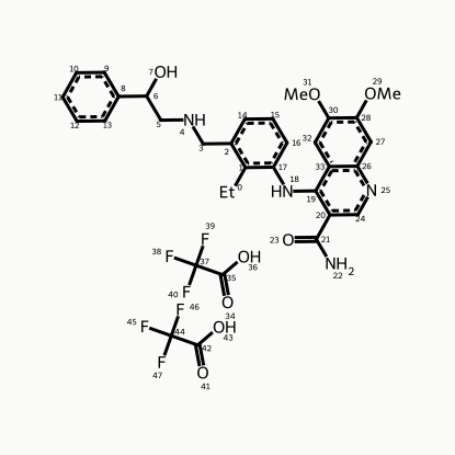 CCc1c(CNCC(O)c2ccccc2)cccc1Nc1c(C(N)=O)cnc2cc(OC)c(OC)cc12.O=C(O)C(F)(F)F.O=C(O)C(F)(F)F